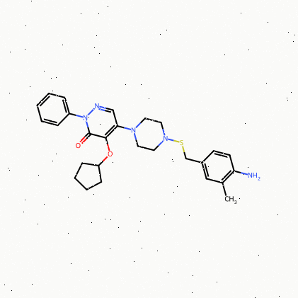 Cc1cc(CSN2CCN(c3cnn(-c4ccccc4)c(=O)c3OC3CCCC3)CC2)ccc1N